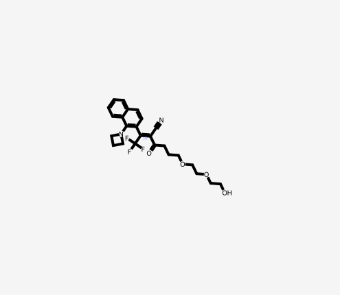 N#C/C(C(=O)CCCOCCOCCO)=C(\c1ccc2ccccc2c1N1CCC1)C(F)(F)F